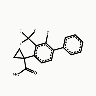 O=C(O)C1(c2ccc(-c3ccccc3)c(F)c2C(F)(F)F)CC1